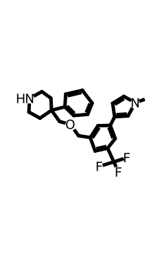 Cn1ccc(-c2cc(COCC3(c4ccccc4)CCNCC3)cc(C(F)(F)F)c2)c1